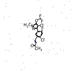 CC(=O)/C=C/c1cc(-c2nn(C)c(OC(F)F)c2Cl)c(F)cc1Cl